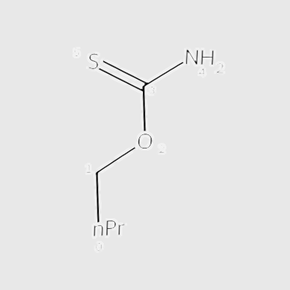 [CH2]CCCOC(N)=S